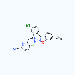 Cc1ccc2c(-c3ccccc3C(N)Cc3nc(C#N)ccc3F)noc2c1.Cl